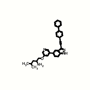 CC(C)CC(N)COc1cncc(-c2ccc3[nH]nc(C#Cc4ccc(-c5ccccc5)cc4)c3c2)c1